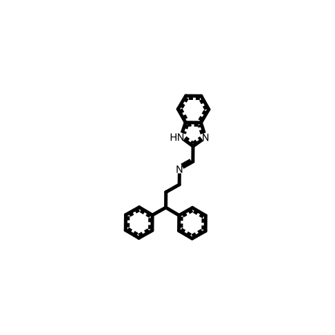 C(=N\CCC(c1ccccc1)c1ccccc1)/c1nc2ccccc2[nH]1